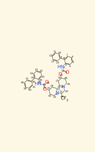 O=C(Nc1ccccc1-c1ccccc1)OC1CCN(CC(N2CCC(OC(=O)Nc3ccccc3-c3ccccc3)CC2)C(F)(F)F)CC1